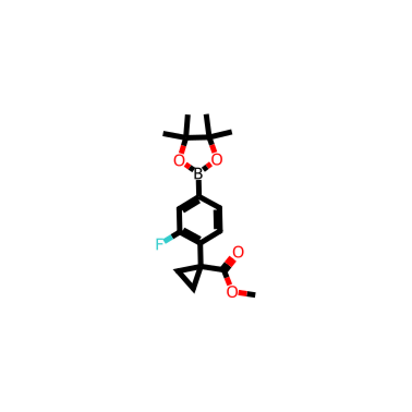 COC(=O)C1(c2ccc(B3OC(C)(C)C(C)(C)O3)cc2F)CC1